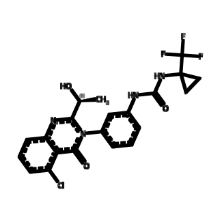 C[C@H](O)c1nc2cccc(Cl)c2c(=O)n1-c1cccc(NC(=O)NC2(C(F)(F)F)CC2)c1